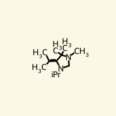 CC(C)=C1N(C(C)C)CN(C)C1(C)C